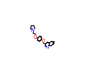 c1ccc2ncc(COc3ccc(OCCN4CCCC4)cc3)cc2c1